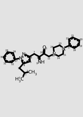 CC(C)Cc1cc(CC(=N)C(=O)CN2CCN(c3ccccc3)CC2)nn1-c1ccccc1